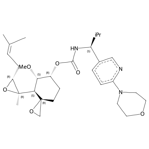 CO[C@@H]1[C@H](OC(=O)N[C@H](c2ccc(N3CCOCC3)nc2)C(C)C)CC[C@]2(CO2)[C@H]1[C@@]1(C)O[C@@H]1CC=C(C)C